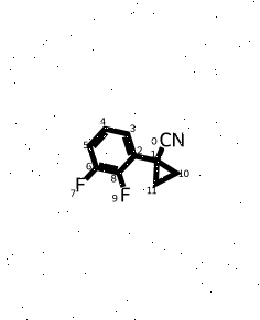 N#CC1(c2cccc(F)c2F)CC1